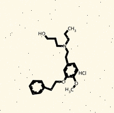 CCCN(CCCO)CCc1ccc(OC)c(OCCc2ccccc2)c1.Cl